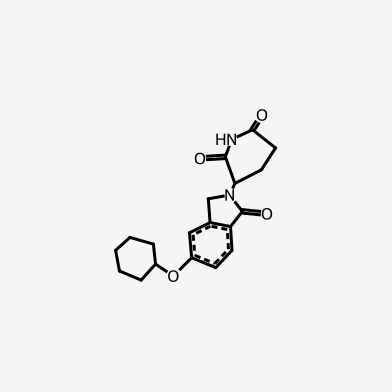 O=C1CCC(N2Cc3cc(OC4CCCCC4)ccc3C2=O)C(=O)N1